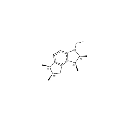 CCN1c2ccc3c(c2[C@H](C)[C@@H]1C)C[C@@H](C)[C@H]3C